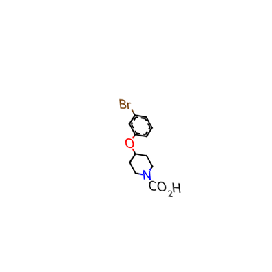 O=C(O)N1CCC(Oc2cccc(Br)c2)CC1